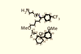 COCCCC/C(=N\OCCN)c1ccc(C(F)(F)F)cc1.COc1cccc([C@@]2(O)CCCC[C@@H]2CN(C)C)c1